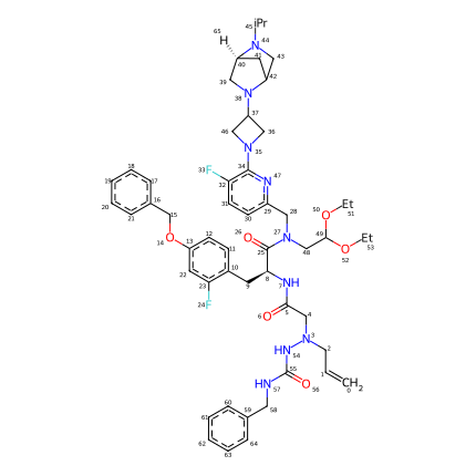 C=CCN(CC(=O)N[C@@H](Cc1ccc(OCc2ccccc2)cc1F)C(=O)N(Cc1ccc(F)c(N2CC(N3C[C@@H]4CC3CN4C(C)C)C2)n1)CC(OCC)OCC)NC(=O)NCc1ccccc1